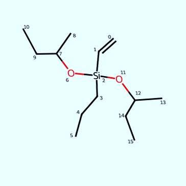 C=C[Si](CCC)(OC(C)CC)OC(C)CC